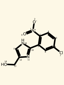 O=[N+]([O-])c1ccc(Cl)cc1-c1nc(CO)c[nH]1